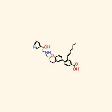 CCCCC=Cc1cc(C(=O)O)ccc1-c1ccc2c(c1)CC[C@H](CNC[C@H](O)c1cccnc1)O2